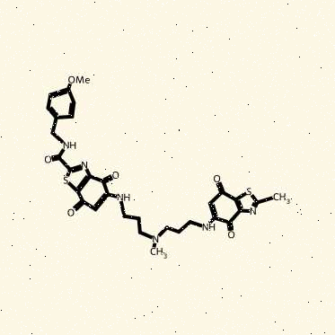 COc1ccc(CNC(=O)c2nc3c(s2)C(=O)C=C(NCCCN(C)CCCNC2=CC(=O)c4sc(C)nc4C2=O)C3=O)cc1